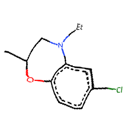 CCN1CC(C)Oc2ccc(Cl)cc21